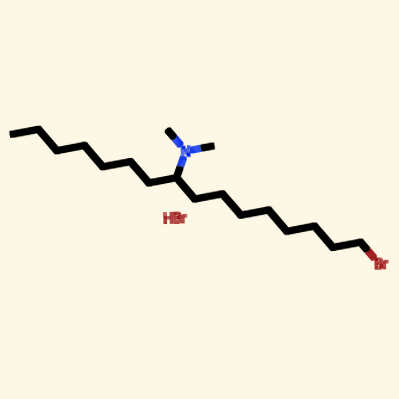 Br.CCCCCCCC(CCCCCCCCBr)N(C)C